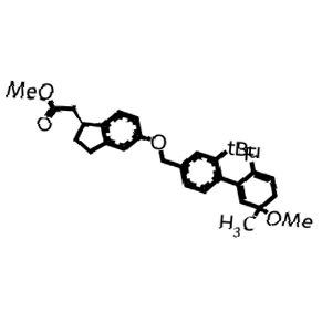 COC(=O)C[C@@H]1CCc2cc(OCc3ccc(C4=CC(C)(OC)CC=C4F)c(C(C)(C)C)c3)ccc21